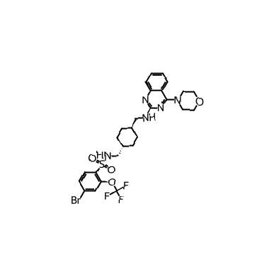 O=S(=O)(NC[C@H]1CC[C@H](CNc2nc(N3CCOCC3)c3ccccc3n2)CC1)c1ccc(Br)cc1OC(F)(F)F